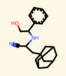 N#CC(CC12CC3CC(CC(C3)C1)C2)NC(CO)c1ccccc1